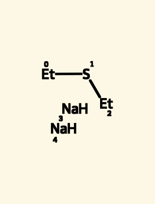 CCSCC.[NaH].[NaH]